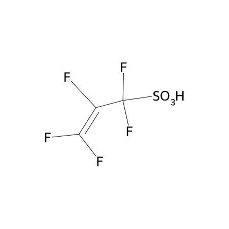 O=S(=O)(O)C(F)(F)C(F)=C(F)F